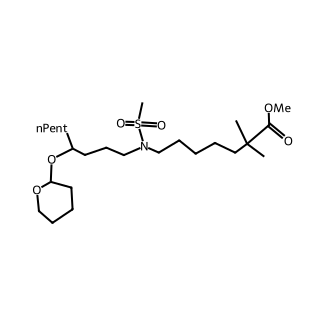 CCCCCC(CCCN(CCCCCC(C)(C)C(=O)OC)S(C)(=O)=O)OC1CCCCO1